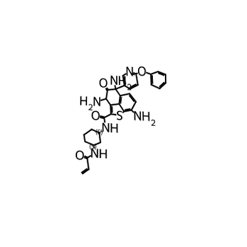 C=CC(=O)N[C@H]1CCC[C@H](NC(=O)c2sc3c(N)ccc4c3c2C(N)C(=O)C4(N)c2ccc(Oc3ccccc3)nc2)C1